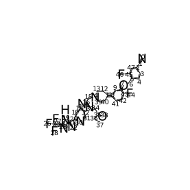 N#Cc1ccc(COc2cc(C3CCN(Cc4nc5cc(-c6nnc(C(F)(F)F)[nH]6)ncc5n4C[C@@H]4CCO4)CC3)ccc2F)c(F)c1